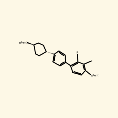 CCCCCc1ccc(-c2ccc([C@H]3CC[C@H](CCCCC)CC3)cc2)c(F)c1F